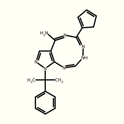 CC(C)(c1ccccc1)n1ncc2c(N)nc(C3=CC=CC3)n[nH]cnc21